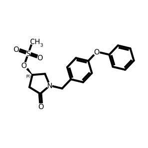 CS(=O)(=O)O[C@@H]1CC(=O)N(Cc2ccc(Oc3ccccc3)cc2)C1